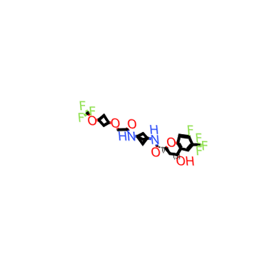 O=C(COC1CC(OC(F)(F)F)C1)NC12CC(NC(=O)[C@H]3C[C@H](O)c4cc(C(F)(F)F)c(F)cc4O3)(C1)C2